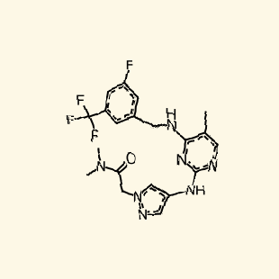 Cc1cnc(Nc2cnn(CC(=O)N(C)C)c2)nc1NCc1cc(F)cc(C(F)(F)F)c1